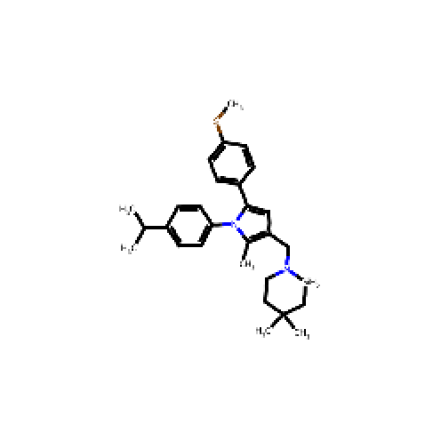 CSc1ccc(-c2cc(CN3CCC(C)(C)C[SiH2]3)c(C)n2-c2ccc(C(C)C)cc2)cc1